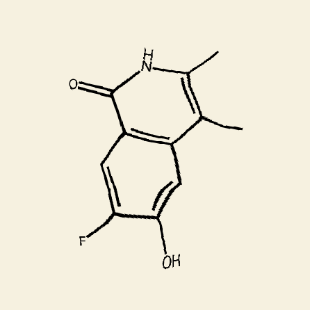 Cc1[nH]c(=O)c2cc(F)c(O)cc2c1C